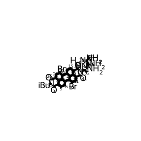 CCC(C)N1C(=O)c2ccc3c4c(Br)cc5c6c(ccc(c7c(Br)cc(c2c37)C1=O)c64)C(=O)N(C(C)NC(N)(N)C(N)N)C5=O